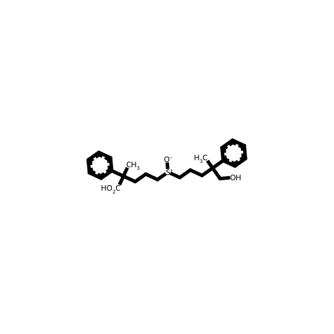 CC(CO)(CCC[S+]([O-])CCCC(C)(C(=O)O)c1ccccc1)c1ccccc1